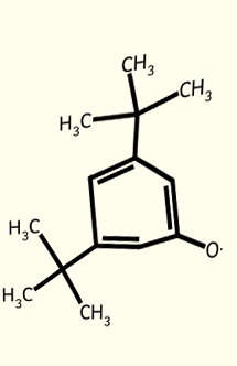 CC(C)(C)c1cc([O])cc(C(C)(C)C)c1